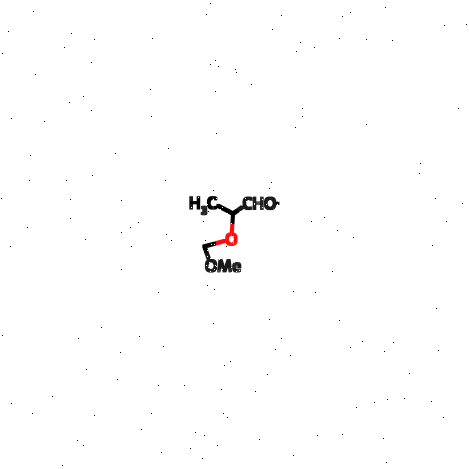 COCOC(C)[C]=O